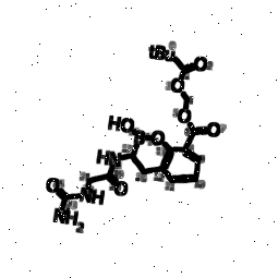 CC(C)(C)C(=O)OCOC(=O)c1cccc2c1OB(O)C(NC(=O)CNC(N)=O)C2